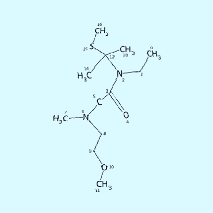 CCN(C(=O)CN(C)CCOC)C(C)(C)SC